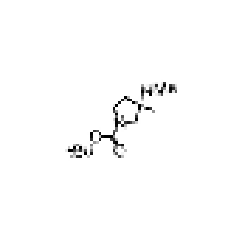 CN[C@@]1(C)CCN(C(=O)OC(C)(C)C)C1